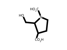 O=C(O)C1CCN(C(=O)O)C1CO